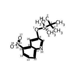 CC(C)(C)[Si](C)(C)Oc1cnc2cccc([N+](=O)[O-])c2c1